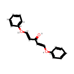 O=C(C=COc1ccccc1)C=COc1ccccc1